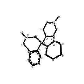 CN1CCC(C2(C3CCCCN3)CN(C)Cc3ccccc32)CC1